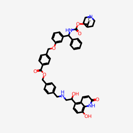 O=C(NC(c1ccccc1)c1cccc(OCc2ccc(C(=O)OCc3ccc(CNCC(O)c4ccc(O)c5[nH]c(=O)ccc45)cc3)cc2)c1)OC1CN2CCC1CC2